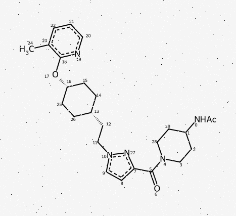 CC(=O)NC1CCN(C(=O)c2ccn(CC[C@H]3CC[C@@H](Oc4ncccc4C)CC3)n2)CC1